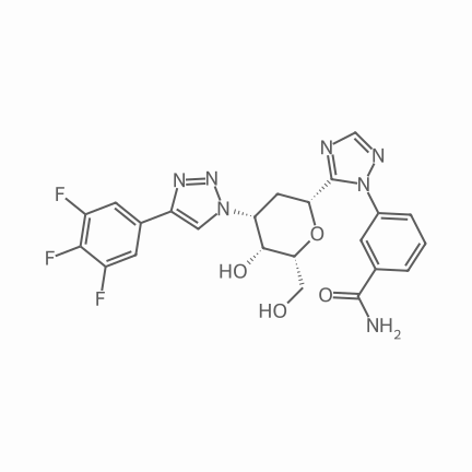 NC(=O)c1cccc(-n2ncnc2[C@H]2C[C@@H](n3cc(-c4cc(F)c(F)c(F)c4)nn3)[C@@H](O)[C@@H](CO)O2)c1